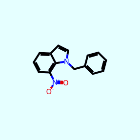 O=[N+]([O-])c1cccc2ccn(Cc3ccccc3)c12